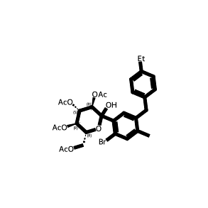 CCc1ccc(Cc2cc(C3(O)O[C@H](COC(C)=O)[C@@H](OC(C)=O)[C@H](OC(C)=O)[C@H]3OC(C)=O)c(Br)cc2C)cc1